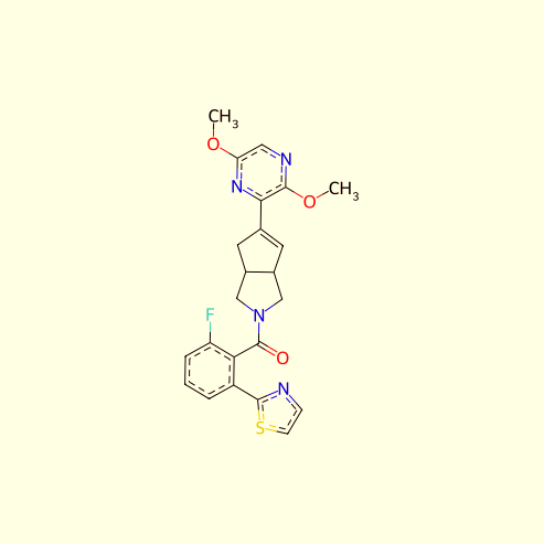 COc1cnc(OC)c(C2=CC3CN(C(=O)c4c(F)cccc4-c4nccs4)CC3C2)n1